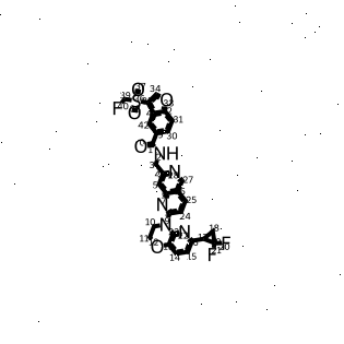 O=C(NCc1cc2nc(N3CCOc4ccc(C5CC5(F)F)nc43)ccc2cn1)c1ccc2occ(S(=O)(=O)CF)c2c1